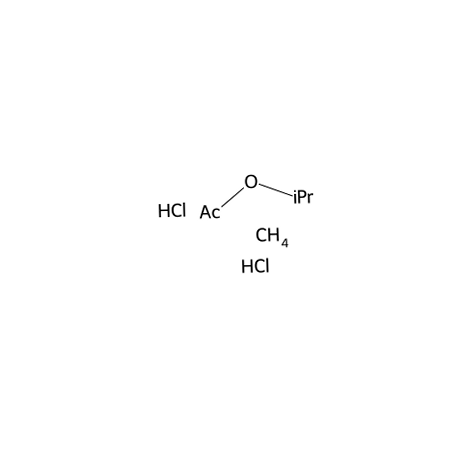 C.CC(=O)OC(C)C.Cl.Cl